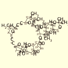 C=C1CC2CC[C@@]34C[C@H]5OC6C(O3)[C@H]3OC(CCC3O[C@H]6C5O4)CC(=O)OC3[C@H](C[C@H]4OC(CC[C@@H]1O2)C[C@@H](C)C4=C)O[C@H]1C[C@H]2OC(C)(C)OC[C@H]2O[C@H]1[C@@H]3C